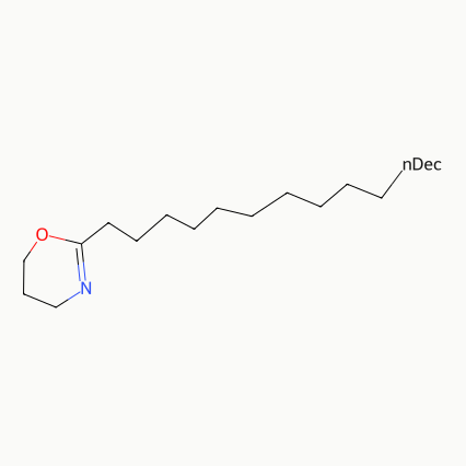 CCCCCCCCCCCCCCCCCCCCC1=NCCCO1